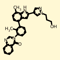 Cc1c(-c2ccc(C)c3[nH]c(-c4cnn(CCCO)c4)cc23)cccc1-n1cnc2ccccc2c1=O